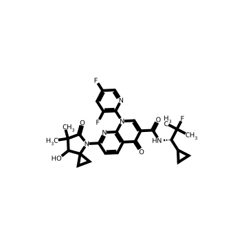 CC1(C)C(=O)N(c2ccc3c(=O)c(C(=O)N[C@@H](C4CC4)C(C)(C)F)cn(-c4ncc(F)cc4F)c3n2)C2(CC2)C1O